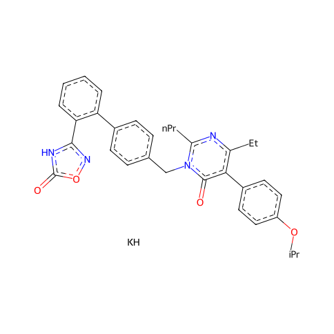 CCCc1nc(CC)c(-c2ccc(OC(C)C)cc2)c(=O)n1Cc1ccc(-c2ccccc2-c2noc(=O)[nH]2)cc1.[KH]